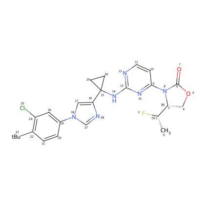 C[C@H](F)[C@H]1COC(=O)N1c1ccnc(NC2(c3cn(-c4ccc(C(C)(C)C)c(Cl)c4)cn3)CC2)n1